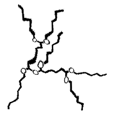 CCCCCCCOC(C=CCCC(OCCCCCC)OCCCCCC)OC(C=CCCC(OCCCCCC)OCCCCCC)OCCCCCCC